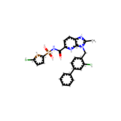 Cc1nc2ccc(C(=O)NS(=O)(=O)c3ccc(Br)s3)nc2n1Cc1ccc(-c2ccccc2)cc1Cl